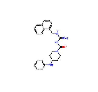 N=C(NCc1cccc2ccccc12)NC(=O)N1CCC(Nc2ccccc2)CC1